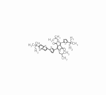 CC(C)CN1C(=O)C2=C(c3ccc(C(C)(C)C)s3)N(CC(C)C)C(=O)C2=C1c1ccc(-c2cc3sc(C(C)(C)C)cc3s2)s1